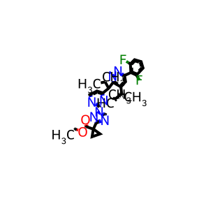 C#C[C@@H](C)c1cc(-c2c(F)cccc2F)nnc1C(C)(c1ccnc(-n2cnc(C3(C(=O)OCC)CC3)n2)n1)C(C)C